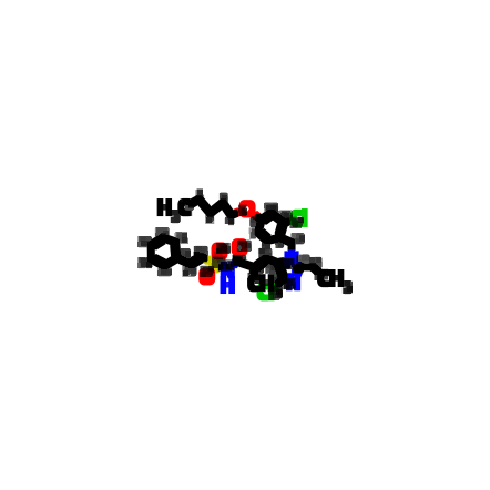 CCCCCOc1ccc(Cn2c(CC)nc(Cl)c2/C=C(\C)C(=O)NS(=O)(=O)/C=C/c2ccccc2)c(Cl)c1